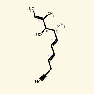 C#CC/C=C/C=C/[C@@H](C)[C@@H](O)/C(C)=C/C